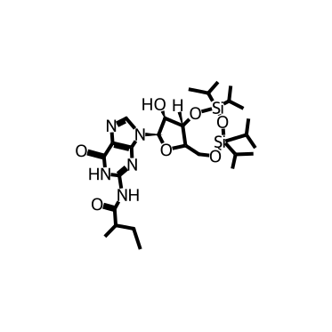 CCC(C)C(=O)Nc1nc2c(ncn2[C@@H]2OC3CO[Si](C(C)C)(C(C)C)O[Si](C(C)C)(C(C)C)O[C@H]3[C@@H]2O)c(=O)[nH]1